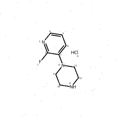 Cl.Fc1ncccc1N1CCNCC1